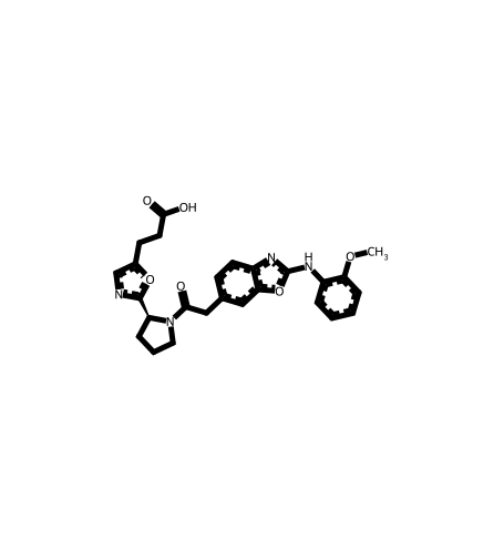 COc1ccccc1Nc1nc2ccc(CC(=O)N3CCC[C@H]3c3ncc(CCC(=O)O)o3)cc2o1